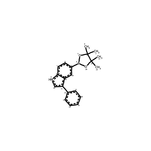 CC1(C)OB(c2ccc3[nH]cc(-c4ccccc4)c3c2)OC1(C)C